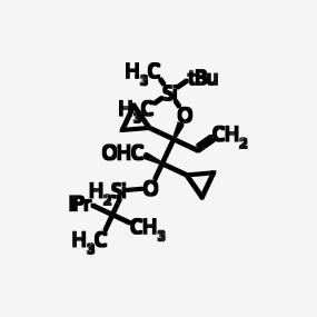 C=C[C@@](O[Si](C)(C)C(C)(C)C)(C1CC1)[C@@](C=O)(O[SiH2]C(C)(C)C(C)C)C1CC1